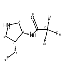 O=C(N[C@H]1CNC[C@H]1CF)C(F)(F)F